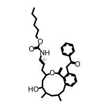 C=C1OC(C/C=C/NC(=O)OCCCCCC)CC(O)C(C)CC(C)Cc2cccc(CC(=O)c3ccccc3)c21